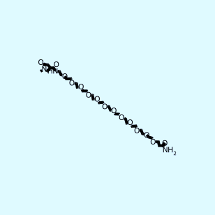 CN1CC(C(=O)NCCOCCOCCOCCOCCOCCOCCOCCOCCOCCOCCOCCOCCC(N)=O)CC1=O